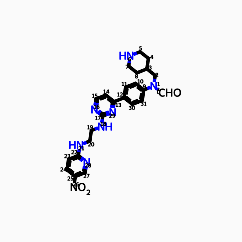 O=CN(CC1CCNCC1)c1ccc(-c2ccnc(NCCNc3ccc([N+](=O)[O-])cn3)n2)cc1